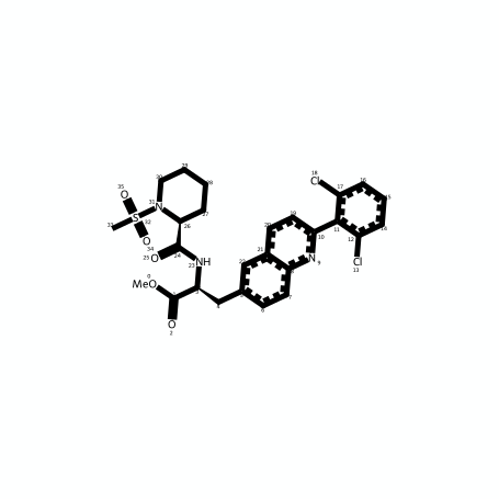 COC(=O)[C@H](Cc1ccc2nc(-c3c(Cl)cccc3Cl)ccc2c1)NC(=O)[C@@H]1CCCCN1S(C)(=O)=O